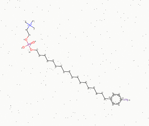 C[N+](C)(C)CCOP(=O)([O-])OCCCCCCCCCCCCCCCCCCc1ccc([131I])cc1